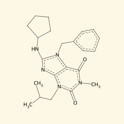 CC(C)Cn1c(=O)n(C)c(=O)c2c1nc(NC1CCCC1)n2Cc1ccccc1